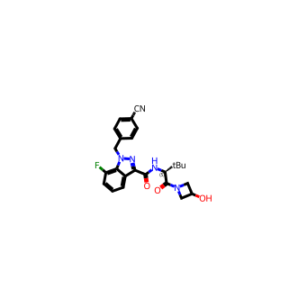 CC(C)(C)[C@H](NC(=O)c1nn(Cc2ccc(C#N)cc2)c2c(F)cccc12)C(=O)N1CC(O)C1